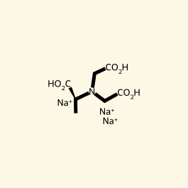 C[C@@H](C(=O)O)N(CC(=O)O)CC(=O)O.[Na+].[Na+].[Na+]